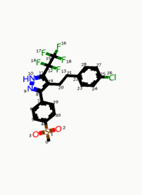 CS(=O)(=O)c1ccc(-c2n[nH]c(C(F)(F)C(F)(F)F)c2CCc2ccc(Cl)cc2)cc1